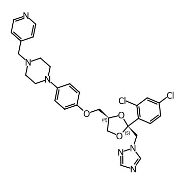 Clc1ccc([C@]2(Cn3cncn3)OC[C@@H](COc3ccc(N4CCN(Cc5ccncc5)CC4)cc3)O2)c(Cl)c1